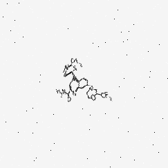 Cc1ncc(-c2cc(C(N)=O)nc3cc(CN4CCOC(C(F)(F)F)C4)ccc23)s1